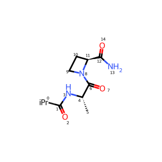 CC(C)C(=O)N[C@@H](C)C(=O)N1CC[C@H]1C(N)=O